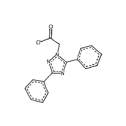 O=C(Cl)Cn1nc(-c2ccccc2)nc1-c1ccccc1